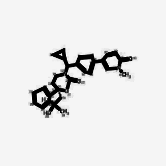 Cn1cc(-c2ccc(C(C3CC3)N3CC[C@](CC(C)(C)O)(c4ccccc4)OC3=O)cc2)ccc1=O